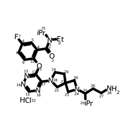 CCN(C(=O)c1cc(F)ccc1Oc1nncnc1N1CCC2(C1)CN(C(CCN)C(C)C)C2)C(C)C.Cl